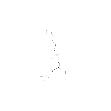 CCCCOCCCCNCC(C)CCN